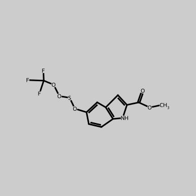 COC(=O)c1cc2cc(OSOOC(F)(F)F)ccc2[nH]1